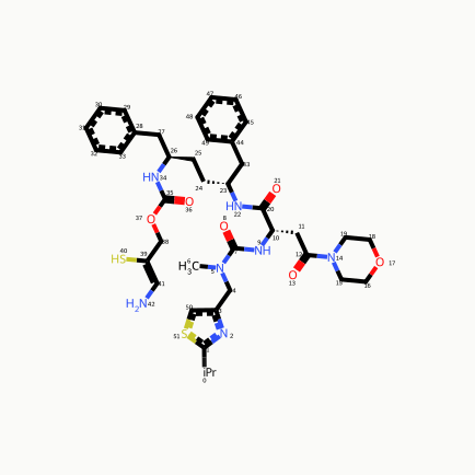 CC(C)c1nc(CN(C)C(=O)N[C@@H](CC(=O)N2CCOCC2)C(=O)N[C@H](CC[C@H](Cc2ccccc2)NC(=O)OC/C(S)=C/N)Cc2ccccc2)cs1